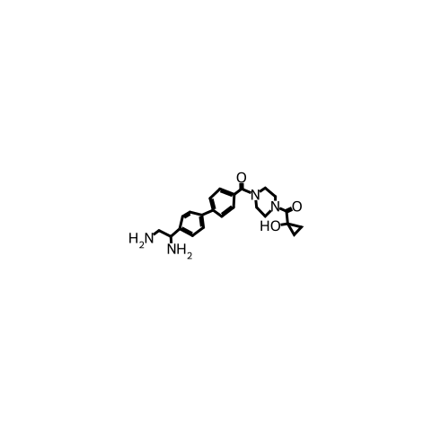 NCC(N)c1ccc(-c2ccc(C(=O)N3CCN(C(=O)C4(O)CC4)CC3)cc2)cc1